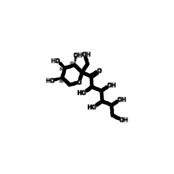 O=C(C(O)C(O)C(O)C(O)CO)C1(CO)OC[C@@H](O)[C@@H](O)[C@@H]1O